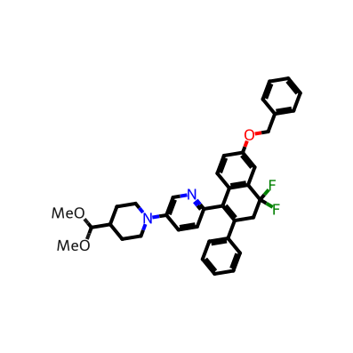 COC(OC)C1CCN(c2ccc(C3=C(c4ccccc4)CC(F)(F)c4cc(OCc5ccccc5)ccc43)nc2)CC1